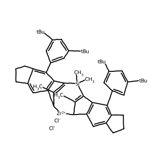 CC1=C2c3c(cc4c(c3-c3cc(C(C)(C)C)cc(C(C)(C)C)c3)CCC4)[CH]1[Zr+2][CH]1C(C)=C(c3c1cc1c(c3-c3cc(C(C)(C)C)cc(C(C)(C)C)c3)CCC1)[Si]2(C)C.[Cl-].[Cl-]